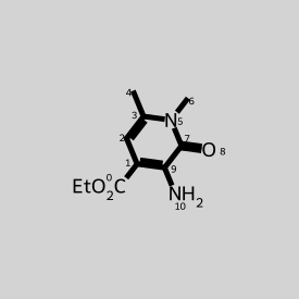 CCOC(=O)c1cc(C)n(C)c(=O)c1N